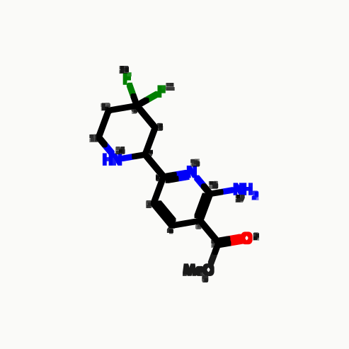 COC(=O)c1ccc(C2CC(F)(F)CCN2)nc1N